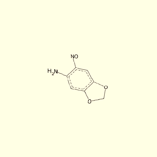 Nc1cc2c(cc1N=O)OCO2